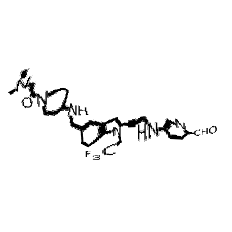 CN(C)CC(=O)N1CCC(NCc2ccc3c(c2)cc(C#CCNc2ccc(C=O)nc2)n3CC(F)(F)F)CC1